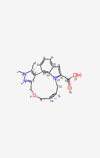 Cc1c2c(nn1C)COC/C=C\Cn1c(C(=O)O)cc3cccc-2c31